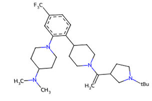 C=C(C1CCN(C(C)(C)C)C1)N1CCC(c2ccc(C(F)(F)F)cc2N2CCC(N(C)C)CC2)CC1